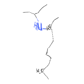 C[SiH2]CCC[SiH](C)NC(C)C